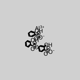 O=S(=O)([O-])c1ccccc1O.O=S(=O)([O-])c1ccccc1O.O=S(=O)([O-])c1ccccc1O.[Al+3]